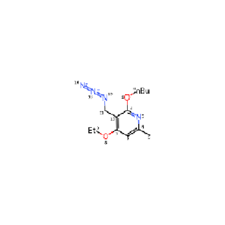 CCCCOc1nc(C)cc(OCC)c1CN=[N+]=[N-]